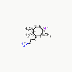 C[C@@H]1CC(CCCN)[C@@H](C)[C@@H](C)CC[C@H]1I